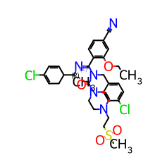 CCOc1cc(C#N)ccc1/C(=N/[C@H](C)C1C=CC(Cl)=CC1)N(Cc1ccc(Cl)cc1)C(=O)N1CCN(CCS(C)(=O)=O)CC1